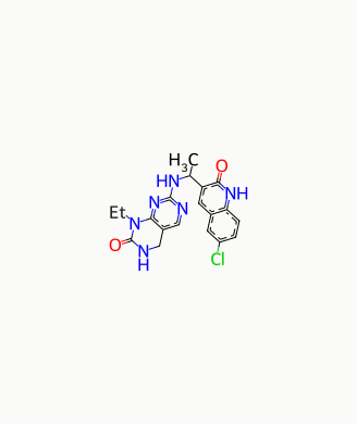 CCN1C(=O)NCc2cnc(NC(C)c3cc4cc(Cl)ccc4[nH]c3=O)nc21